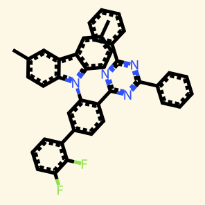 Cc1ccc2c(c1)c1cc(C)ccc1n2-c1cc(-c2cccc(F)c2F)ccc1-c1nc(-c2ccccc2)nc(-c2ccccc2)n1